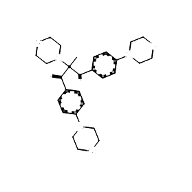 CC(C(=O)c1ccc(N2CCNCC2)cc1)(C(=O)c1ccc(N2CCNCC2)cc1)N1CCNCC1